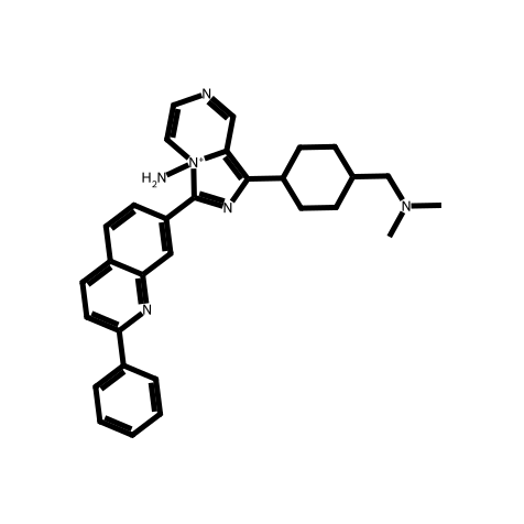 CN(C)CC1CCC(C2=C3C=NC=C[N+]3(N)C(c3ccc4ccc(-c5ccccc5)nc4c3)=N2)CC1